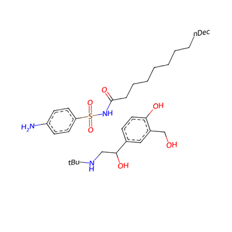 CC(C)(C)NCC(O)c1ccc(O)c(CO)c1.CCCCCCCCCCCCCCCCCC(=O)NS(=O)(=O)c1ccc(N)cc1